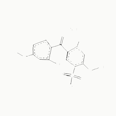 COc1ccc(C(=O)c2cc(S(=O)(=O)O)c(OC)cc2O)c(O)c1.[NaH]